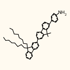 CCCCCCCCC1(CCCCCCCC)c2ccccc2-c2ccc(-c3ccc4c(c3)C(C)(C)c3cc(-c5ccc(N)cc5)ccc3-4)cc21